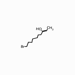 CC=C(O)CCCCCCCBr